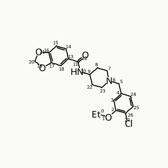 CCOc1cc(CN2CCC(NC(=O)c3ccc4c(c3)OCO4)CC2)ccc1Cl